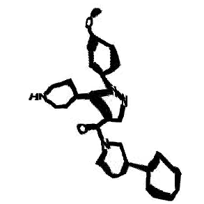 COc1ccc(-n2ncc(C(=O)N3CC[C@H](c4ccccc4)C3)c2C2CCNCC2)cc1